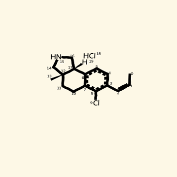 C/C=C\c1ccc2c(c1Cl)CC[C@]1(C)CNC[C@H]21.Cl